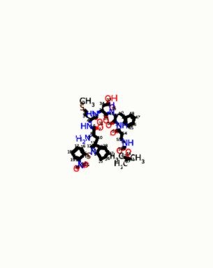 CSCC[C@H](NC(=O)[C@@H](N)Cc1cn(Sc2ccccc2[N+](=O)[O-])c2ccccc12)C(=O)N[C@@H](CC(=O)O)C(=O)N[C@@H](Cc1ccccc1)C(=O)NC(=O)CCNC(=O)OC(C)(C)C